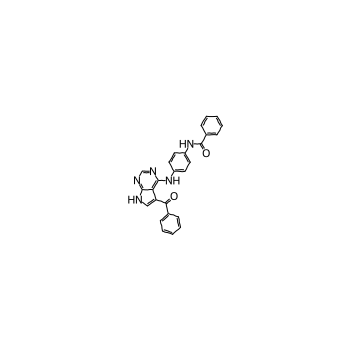 O=C(Nc1ccc(Nc2ncnc3[nH]cc(C(=O)c4ccccc4)c23)cc1)c1ccccc1